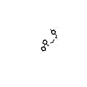 COc1cc(CC(C)(C)NC[C@@H](O)COC(C)c2ccccc2-c2ccc(OC(=O)O)c(C)c2)ccc1Cl